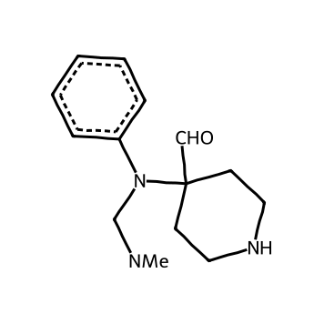 CNCN(c1ccccc1)C1(C=O)CCNCC1